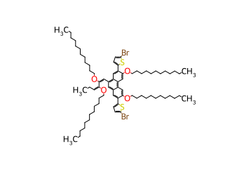 CC/C=C(OCCCCCCCCCCCC)\C(=C/c1cc2cc(-c3ccc(Br)s3)c(OCCCCCCCCCCCC)cc2c2cc(OCCCCCCCCCCCC)c(-c3ccc(Br)s3)cc12)OCCCCCCCCCCCC